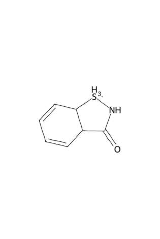 O=C1N[SH3]C2C=CC=CC12